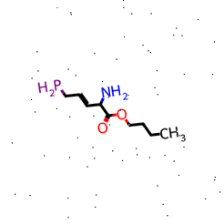 CCCCOC(=O)C(N)C=CCP